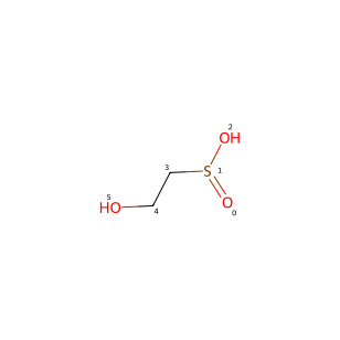 O=S(O)CCO